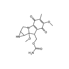 COC1=C(C)C(=O)C2=C(C1=O)C(COC(N)=O)C1(OC)C3NC3CN21